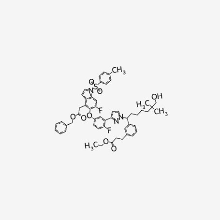 CCOC(=O)CCc1cccc(C(CCCCC(C)(C)CO)n2ccc(-c3cc(Oc4c(F)cc5c(ccn5S(=O)(=O)c5ccc(C)cc5)c4CC(=O)OCc4ccccc4)ccc3F)n2)c1